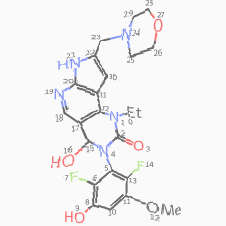 CCN1C(=O)N(c2c(F)c(O)cc(OC)c2F)C(O)c2cnc3[nH]c(CN4CCOCC4)cc3c21